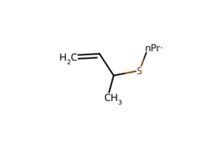 C=CC(C)S[CH]CC